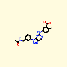 CC(=O)NCc1cccc(-n2nnc3cnc(Nc4ccc(C)c(C(=O)O)c4)nc32)c1